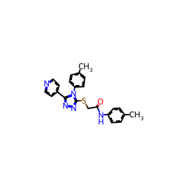 Cc1ccc(NC(=O)CSc2nnc(-c3ccncc3)n2-c2ccc(C)cc2)cc1